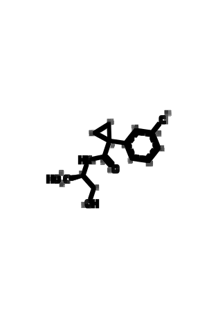 O=C(O)[C@H](CO)NC(=O)C1(c2cccc(Cl)c2)CC1